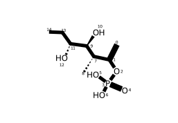 C=C(OP(=O)(O)O)[C@H](C)[C@H](O)[C@H](O)CC